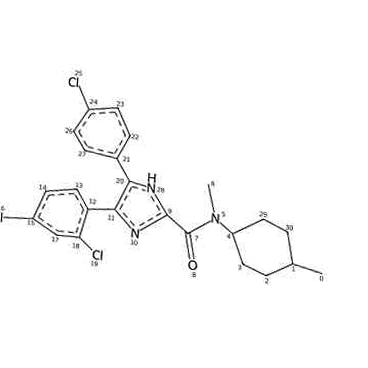 CC1CCC(N(C)C(=O)c2nc(-c3ccc(Cl)cc3Cl)c(-c3ccc(Cl)cc3)[nH]2)CC1